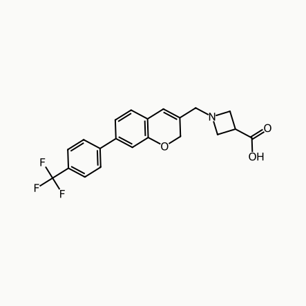 O=C(O)C1CN(CC2=Cc3ccc(-c4ccc(C(F)(F)F)cc4)cc3OC2)C1